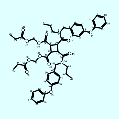 CCCN(Cc1ccc(Oc2ccccc2)cc1)C(=O)C1C(C(=O)OCOC(=O)CC)C(C(=O)OCOC(=O)CC)C1C(=O)N(CCC)Cc1ccc(Oc2ccccc2)cc1